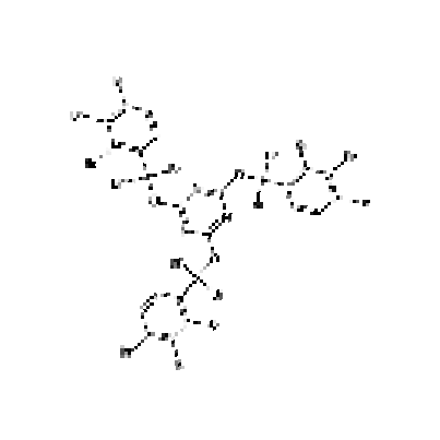 Brc1ccc(C(Br)(Br)Oc2nc(OC(Br)(Br)c3ccc(Br)c(Br)c3Br)nc(OC(Br)(Br)c3ccc(Br)c(Br)c3Br)n2)c(Br)c1Br